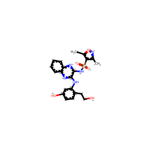 Cc1noc(C)c1S(=O)(=O)Nc1nc2ccccc2nc1Nc1cc(O)ccc1CCO